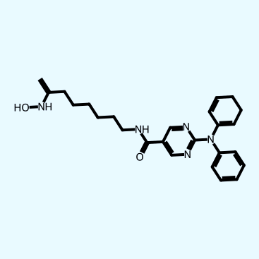 C=C(CCCCCCNC(=O)c1cnc(N(C2=CCCC=C2)c2ccccc2)nc1)NO